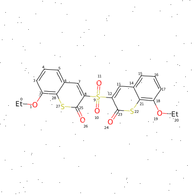 CCOc1cccc2cc(S(=O)(=O)c3cc4cccc(OCC)c4sc3=O)c(=O)sc12